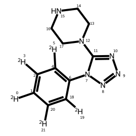 [2H]c1c([2H])c([2H])c(-n2nnnc2N2CCNCC2)c([2H])c1[2H]